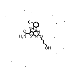 NC(=O)c1sc2nc(OC/C=C/CO)nc(-c3cccc(Cl)c3)c2c1N